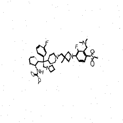 COC(=O)N[C@H]1CCC[C@@H]1[C@](CN1CCC1)(c1cccc(F)c1)C1CCN(CC2(C)CN(c3ccc(S(C)(=O)=O)c(CN(C)C)c3F)C2)CC1